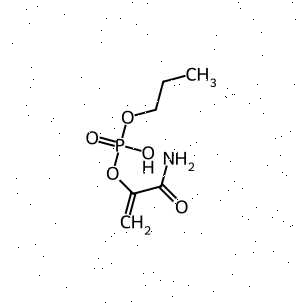 C=C(OP(=O)(O)OCCC)C(N)=O